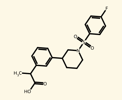 CC(C(=O)O)c1cccc(C2CCCN(S(=O)(=O)c3ccc(F)cc3)C2)c1